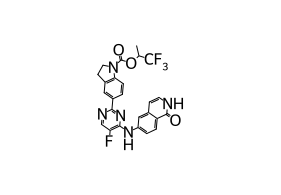 CC(OC(=O)N1CCc2cc(-c3ncc(F)c(Nc4ccc5c(=O)[nH]ccc5c4)n3)ccc21)C(F)(F)F